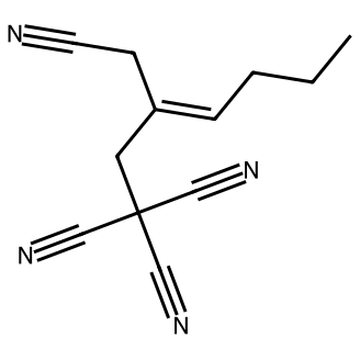 CCCC=C(CC#N)CC(C#N)(C#N)C#N